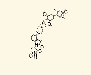 COc1cc(-c2cn(C)c(=O)c(C)c2C)cc(OC)c1CN1CCC2(CCN(c3cccc4c3n(C)c(=O)n4C3CCC(=O)NC3=O)CC2)C1